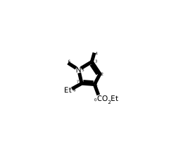 CCOC(=O)c1cc(C)n(C)c1CC